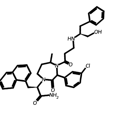 CC1CCN([C@H](Cc2cccc3ccccc23)C(N)=O)C(=O)C(c2cccc(Cl)c2)N1C(=O)CCN[C@H](CO)Cc1ccccc1